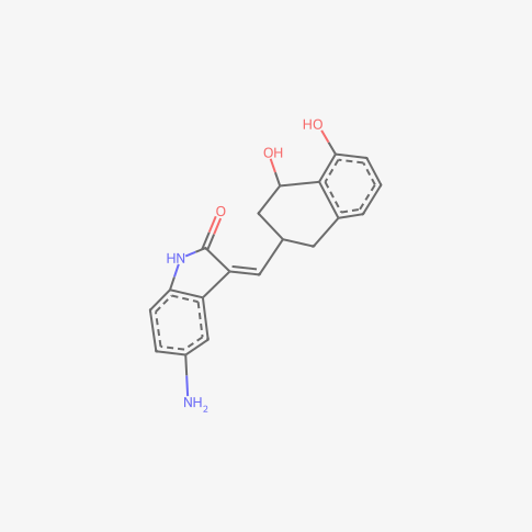 Nc1ccc2c(c1)C(=CC1Cc3cccc(O)c3C(O)C1)C(=O)N2